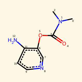 CN(C)C(=O)Oc1cnccc1N